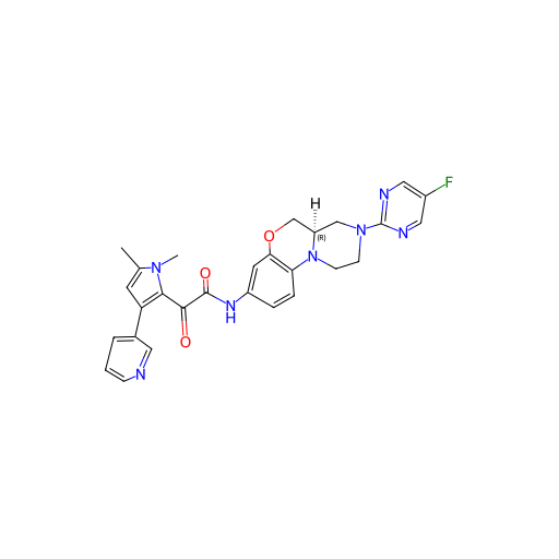 Cc1cc(-c2cccnc2)c(C(=O)C(=O)Nc2ccc3c(c2)OC[C@H]2CN(c4ncc(F)cn4)CCN32)n1C